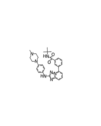 CN1CCN(c2ccc(Nc3nc4cccc(-c5cccc(S(=O)(=O)NC(C)(C)C)c5)n4n3)cc2)CC1